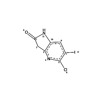 O=C1Cc2nc(Cl)c(I)cc2N1